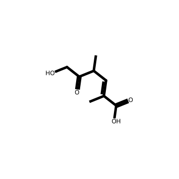 CC(=CC(C)C(=O)CO)C(=O)O